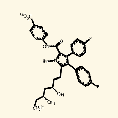 CC(C)n1c(CC[C@@H](O)C[C@@H](O)CC(=O)O)c(-c2ccc(F)cc2)c(-c2ccc(F)cc2)c1C(=O)Nc1ccc(C(=O)O)cn1